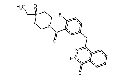 CCP1(=O)CCN(C(=O)c2cc(Cc3n[nH]c(=O)c4ccccc34)ccc2F)CC1